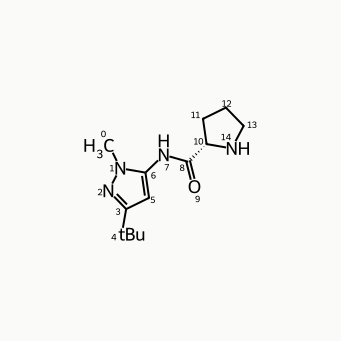 Cn1nc(C(C)(C)C)cc1NC(=O)[C@@H]1CCCN1